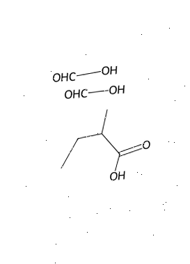 CCC(C)C(=O)O.O=CO.O=CO